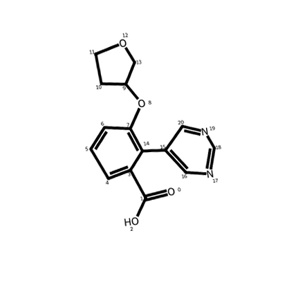 O=C(O)c1cccc(OC2CCOC2)c1-c1cncnc1